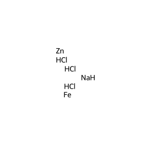 Cl.Cl.Cl.[Fe].[NaH].[Zn]